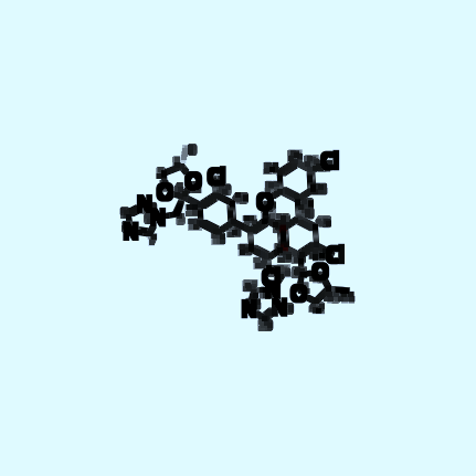 C[C@H]1CO[C@@](Cn2cncn2)(c2ccc(-c3cc(Cl)ccc3Oc3ccc(Cl)cc3-c3ccc([C@]4(Cn5cncn5)OC[C@H](C)O4)c(Cl)c3)cc2Cl)O1